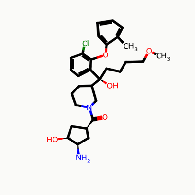 COCCCC[C@@](O)(c1cccc(Cl)c1Oc1ccccc1C)C1CCCN(C(=O)[C@H]2C[C@@H](N)[C@@H](O)C2)C1